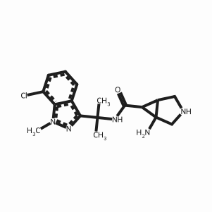 Cn1nc(C(C)(C)NC(=O)C2C3CNCC32N)c2cccc(Cl)c21